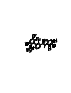 COc1cc(OC)c(F)c(-c2c(N)ccc(-c3ncc4c(c3C)NC(=O)NC4)c2F)c1F